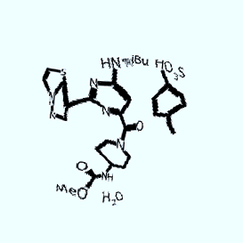 CC[C@@H](C)Nc1cc(C(=O)N2CCC(NC(=O)OC)CC2)nc(-c2cnn3ccsc23)n1.Cc1ccc(S(=O)(=O)O)cc1.O